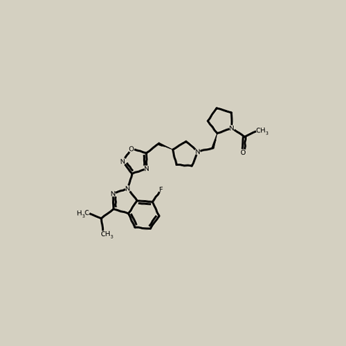 CC(=O)N1CCC[C@@H]1CN1CC[C@@H](Cc2nc(-n3nc(C(C)C)c4cccc(F)c43)no2)C1